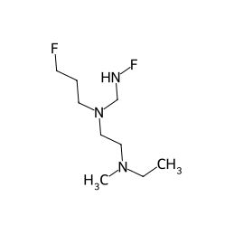 CCN(C)CCN(CCCF)CNF